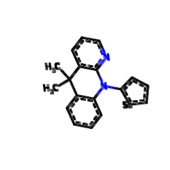 CC1(C)c2ccccc2N(c2ccc[se]2)c2ncccc21